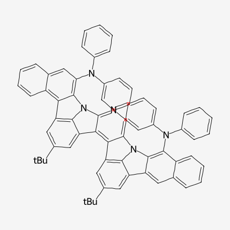 CC(C)(C)c1cc2c3cc4ccccc4c(N(c4ccccc4)c4ccccc4)c3n3c4cnc5c(c6cc(C(C)(C)C)cc7c8c9ccccc9cc(N(c9ccccc9)c9ccccc9)c8n5c67)c4c(c1)c23